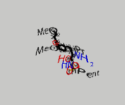 CCCCCS(=O)(=O)NC[C@H](O)[C@@H](N)C[C@H](Cc1ccc(OC)c(OCCCOC)c1)C(C)C